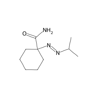 CC(C)N=NC1(C(N)=O)CCCCC1